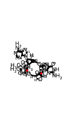 CC(C)(C)[Si](C)(C)O[C@H]1[C@H](n2cnc3c(N)ncnc32)[C@H]2CC23COP(=O)(O)O[C@H]2[C@H]4OC[C@]2(COP(=O)(S)O[C@@H]13)O[C@H]4n1cnc2c(=O)[nH]c(N)nc21